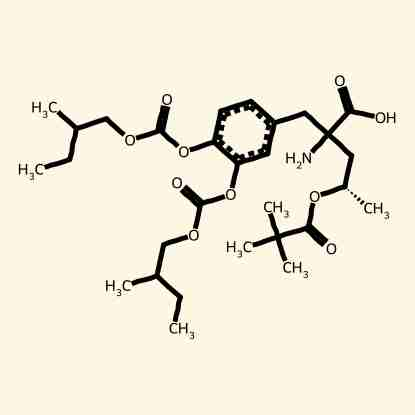 CCC(C)COC(=O)Oc1ccc(CC(N)(C[C@H](C)OC(=O)C(C)(C)C)C(=O)O)cc1OC(=O)OCC(C)CC